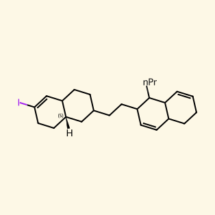 CCCC1C(CCC2CCC3C=C(I)CC[C@H]3C2)C=CC2CCC=CC21